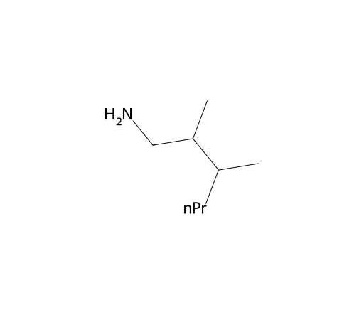 CCCC(C)C(C)CN